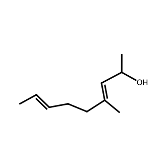 CC=CCCC(C)=CC(C)O